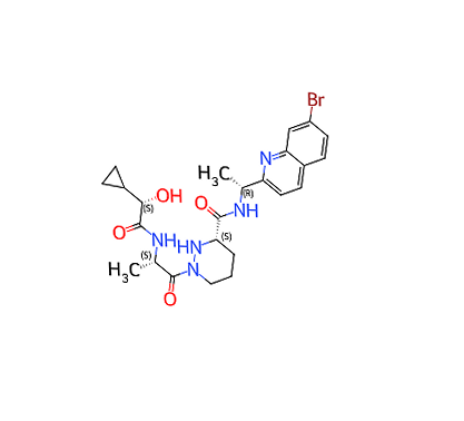 C[C@H](NC(=O)[C@@H](O)C1CC1)C(=O)N1CCC[C@@H](C(=O)N[C@H](C)c2ccc3ccc(Br)cc3n2)N1